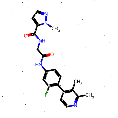 Cc1nccc(-c2ccc(NC(=O)CNC(=O)c3ccnn3C)cc2F)c1C